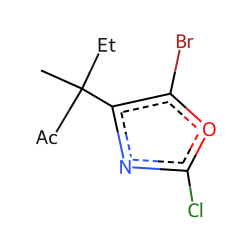 CCC(C)(C(C)=O)c1nc(Cl)oc1Br